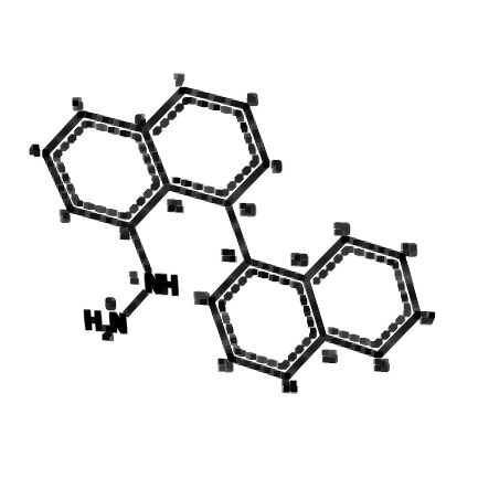 NNc1cccc2cccc(-c3cccc4ccccc34)c12